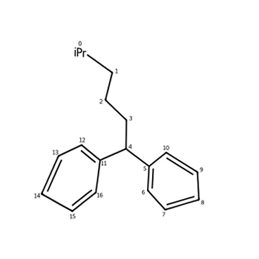 CC(C)CCCC(c1ccccc1)c1ccccc1